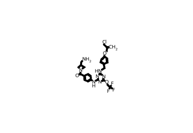 C=C(CCl)COc1ccc(CNc2nc(Nc3ccc(C(=O)N4CC(CN)C4)cc3)nc(OCC(F)(F)F)n2)cc1